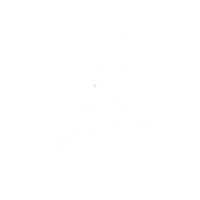 COCc1nc(Nc2ccc(OCF)cc2)c2ccc(-c3ncccc3Cl)nc2n1